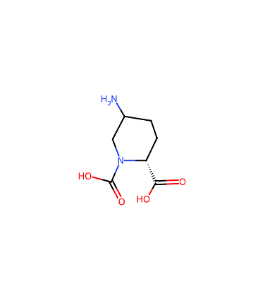 NC1CC[C@H](C(=O)O)N(C(=O)O)C1